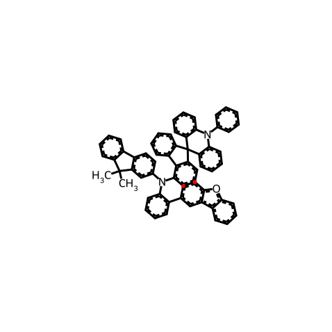 CC1(C)c2ccccc2-c2ccc(N(c3ccccc3-c3ccc4oc5ccccc5c4c3)c3cccc4c3-c3ccccc3C43c4ccccc4N(c4ccccc4)c4ccccc43)cc21